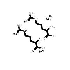 Cl.N.N=C(N)NCCCC(N)C(=O)O.N=C(N)NCCCC(N)C(=O)O.P